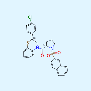 O=C([C@@H]1CCCN1S(=O)(=O)c1ccc2ccccc2c1)N1C[C@H](c2ccc(Cl)cc2)Sc2ccccc21